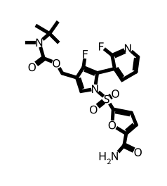 CN(C(=O)OCc1cn(S(=O)(=O)c2ccc(C(N)=O)o2)c(-c2cccnc2F)c1F)C(C)(C)C